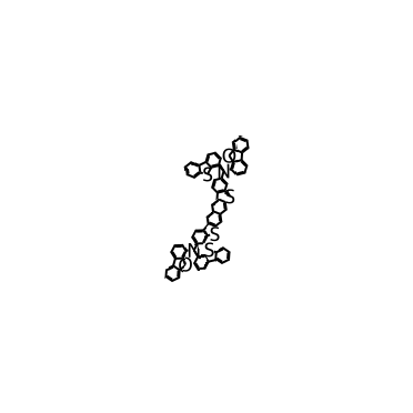 c1ccc2c(c1)oc1c(N(c3ccc4c(c3)sc3cc5cc6sc7cc(N(c8cccc9c8oc8ccccc89)c8cccc9c8sc8ccccc89)ccc7c6cc5cc34)c3cccc4c3sc3ccccc34)cccc12